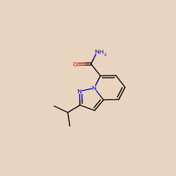 CC(C)c1cc2cccc(C(N)=O)n2n1